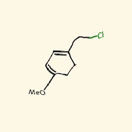 COC1=CC=C(CCl)CC1